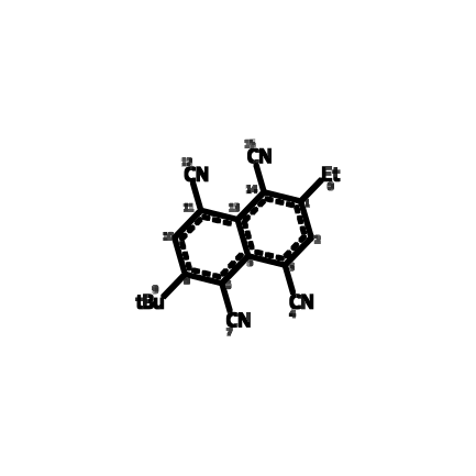 CCc1cc(C#N)c2c(C#N)c(C(C)(C)C)cc(C#N)c2c1C#N